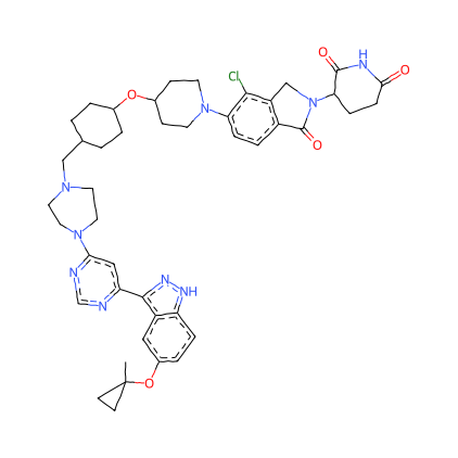 CC1(Oc2ccc3[nH]nc(-c4cc(N5CCN(CC6CCC(OC7CCN(c8ccc9c(c8Cl)CN(C8CCC(=O)NC8=O)C9=O)CC7)CC6)CC5)ncn4)c3c2)CC1